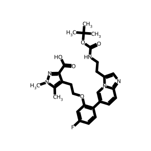 Cc1c(CCOc2cc(F)ccc2-c2ccc3ncc(CCNC(=O)OC(C)(C)C)n3c2)c(C(=O)O)nn1C